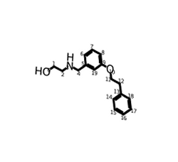 OCCNCc1cccc(OCCc2ccccc2)c1